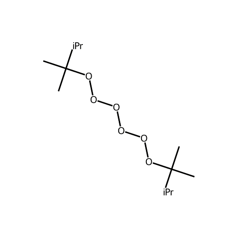 CC(C)C(C)(C)OOOOOOC(C)(C)C(C)C